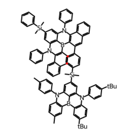 Cc1ccc(N2c3ccc(C)cc3B3c4cc(C(C)(C)C)ccc4N(c4ccc(C(C)(C)C)cc4)c4cc([Si](C)(C)c5ccc(-c6cc7ccccc7c7c6B6c8ccc9ccccc9c8N(c8ccccc8)c8cc([Si](C)(C)c9ccccc9)cc(c86)N7c6ccccc6)cc5)cc2c43)cc1